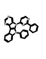 C1=CCCC(c2nccc(-n3c4cncnc4c4c5ccccc5n(-c5ccccc5)c43)n2)=C1